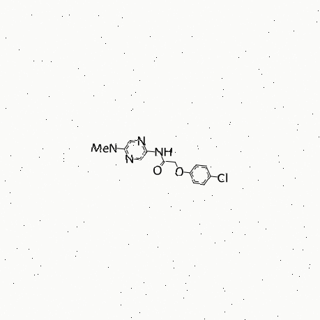 CNc1cnc(NC(=O)COc2ccc(Cl)cc2)cn1